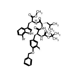 COC(=O)[C@H](Cc1c[nH]c2c(Br)cccc12)NC(=O)[C@H](CC(C)C)NC(=O)[C@H](Cc1ccc(OCc2ccccc2)c(I)c1)NC(=O)OC(C)(C)C